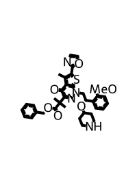 COc1ccccc1C(Cn1nc(C(C)(C)C(=O)OCc2ccccc2)c(=O)c2c(C)c(-c3ncco3)sc21)OC1CCNCC1